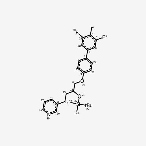 Cc1c(F)cc(-c2ccc(OCC(CCc3cccnc3)O[Si](C)(C)C(C)(C)C)cc2)cc1F